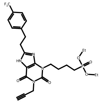 C#CCn1c(=O)c2[nH]c(CCc3ccc(C(F)(F)F)cc3)nc2n(CCCCP(=O)(OCC)OCC)c1=O